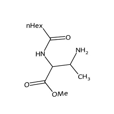 CCCCCCC(=O)NC(C(=O)OC)C(C)N